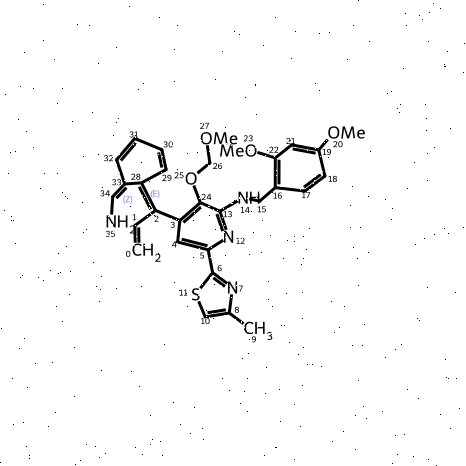 C=C/C(c1cc(-c2nc(C)cs2)nc(NCc2ccc(OC)cc2OC)c1OCOC)=c1/cccc/c1=C/N